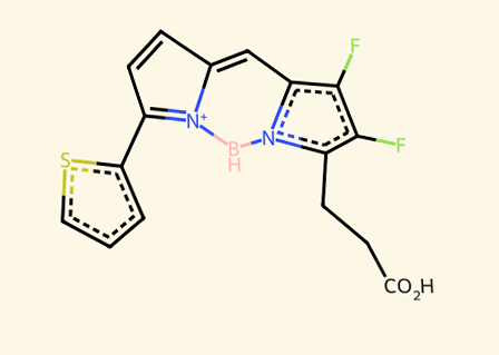 O=C(O)CCc1c(F)c(F)c2n1B[N+]1=C(c3cccs3)C=CC1=C2